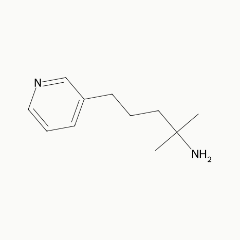 CC(C)(N)CCCc1cccnc1